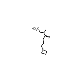 CN(CC(=O)O)C(=O)CCCN1CCC1